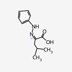 CC(C)C/C(=N/Nc1ccccc1)C(=O)O